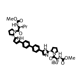 CC[C@H](C)[C@H](NC(=O)OC)C(=O)N1CCC[C@H]1c1ncc(-c2ccc(-c3ccc(-c4ccc([C@@H]5CCCN5C(=O)[C@@H](NC(=O)OC)C(C)C)[nH]4)cc3)cc2)[nH]1